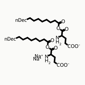 CCCCCCCCCCCCCCCCCC(=O)OC(=O)C(N)CCC(=O)[O-].CCCCCCCCCCCCCCCCCC(=O)OC(=O)C(N)CCC(=O)[O-].[Na+].[Na+]